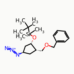 CC(C)(C)[Si](C)(C)O[C@H]1C[C@H](N=[N+]=[N-])C[C@H]1COCc1ccccc1